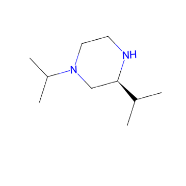 CC(C)[C@H]1CN(C(C)C)CCN1